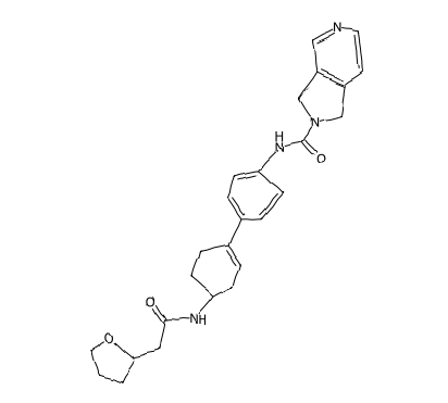 O=C(CC1CCCO1)NC1CC=C(c2ccc(NC(=O)N3Cc4ccncc4C3)cc2)CC1